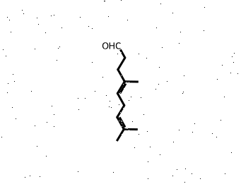 CC(C)=CC/C=C(\C)CCC=O